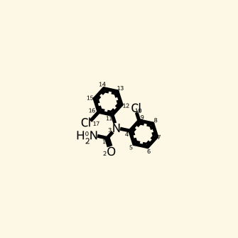 NC(=O)N(c1ccccc1Cl)c1ccccc1Cl